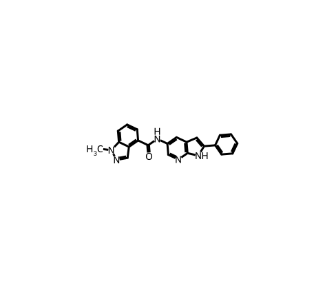 Cn1ncc2c(C(=O)Nc3cnc4[nH]c(-c5ccccc5)cc4c3)cccc21